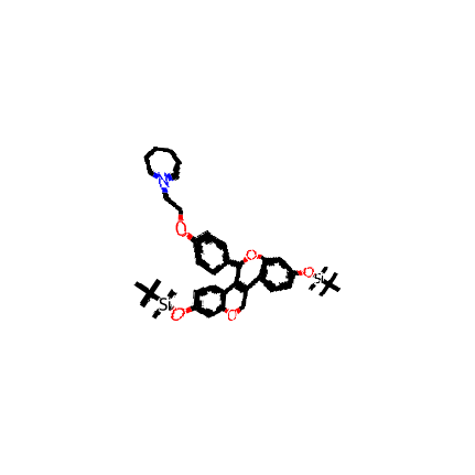 CC(C)(C)[Si](C)(C)Oc1ccc2c(c1)OC(c1ccc(OCCN3CCCCCC3)cc1)C1=C2COc2cc(O[Si](C)(C)C(C)(C)C)ccc21